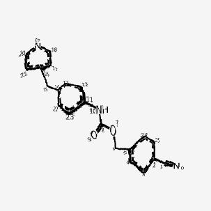 N#Cc1ccc(COC(=O)Nc2ccc(Cc3ccncc3)cc2)cc1